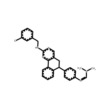 CN(C)/C=N\c1ccc(C2Cc3cnc(NCc4cccc(Cl)c4)nc3-c3ccccc32)cc1